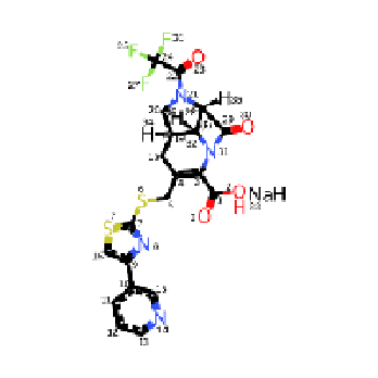 O=C(O)C1=C(CSc2nc(-c3cccnc3)cs2)C[C@@H]2CN(C(=O)C(F)(F)F)[C@@H]3C(=O)N1[C@H]23.[NaH]